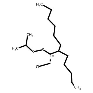 CCCCCCC(CCCCC)[C@H](CCl)SSC(C)C